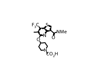 CNC(=O)c1csc2c(C(F)(F)F)c(C)c(OC3CCN(C(=O)O)CC3)nc12